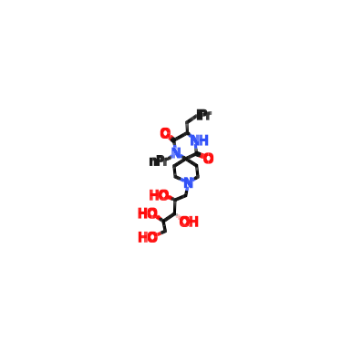 CCCN1C(=O)C(CC(C)C)NC(=O)C12CCN(C[C@H](O)[C@H](O)[C@H](O)CO)CC2